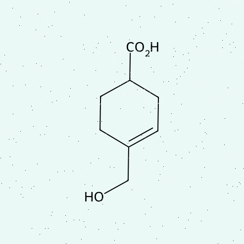 O=C(O)C1CC=C(CO)CC1